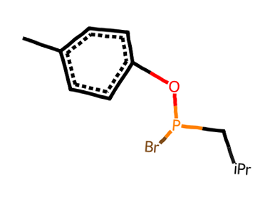 Cc1ccc(OP(Br)CC(C)C)cc1